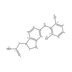 O=S(O)CC1COc2cc(Oc3c(Cl)cccc3Cl)ccc21